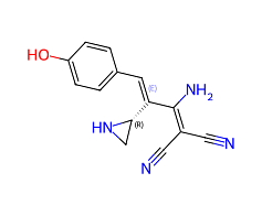 N#CC(C#N)=C(N)/C(=C/c1ccc(O)cc1)[C@@H]1CN1